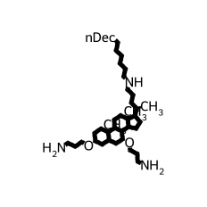 CCCCCCCCCCCCCCCCNCCC[C@@H](C)C1CCC2C3C(CC[C@@]21C)[C@@]1(C)CC[C@@H](OCCCN)CC1C[C@H]3OCCCN